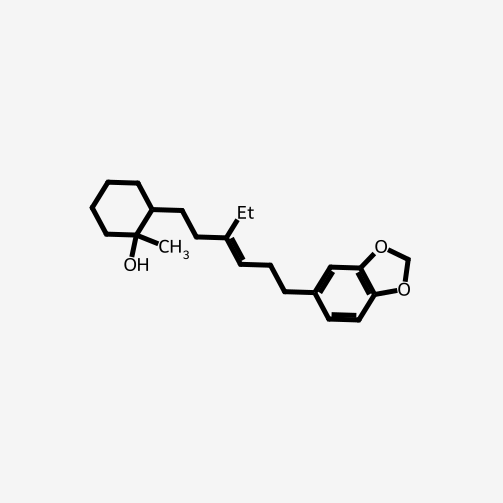 CC/C(=C\CCc1ccc2c(c1)OCO2)CCC1CCCCC1(C)O